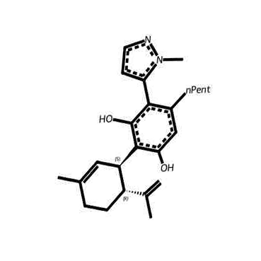 C=C(C)[C@@H]1CCC(C)=C[C@H]1c1c(O)cc(CCCCC)c(-c2ccnn2C)c1O